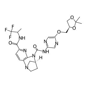 CC(NC(=O)c1ccc2c(n1)N(C(=O)Nc1cnc(OC[C@H]3COC(C)(C)O3)cn1)[C@H]1CCN2C1)C(F)(F)F